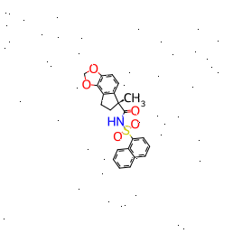 C[C@@]1(C(=O)NS(=O)(=O)c2cccc3ccccc23)CCc2c1ccc1c2OCO1